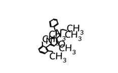 CCc1cccc(CC)c1-c1cc(OC)c(CN(Cc2ccccc2)CC(C)C)c(C)n1